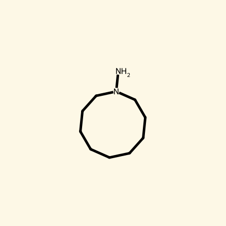 NN1CCCCCCCCC1